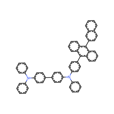 c1ccc(N(c2ccccc2)c2ccc(-c3ccc(N(c4ccccc4)c4ccc(-c5c6ccccc6c(-c6ccc7ccccc7c6)c6ccccc56)cc4)cc3)cc2)cc1